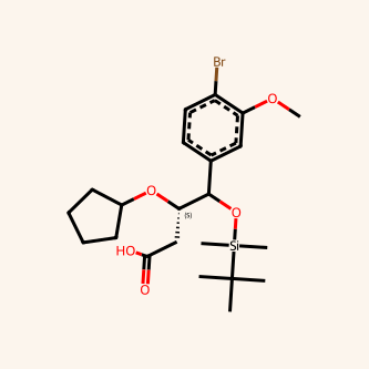 COc1cc(C(O[Si](C)(C)C(C)(C)C)[C@H](CC(=O)O)OC2CCCC2)ccc1Br